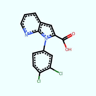 O=C(O)c1cc2cccnc2n1-c1ccc(Cl)c(Cl)c1